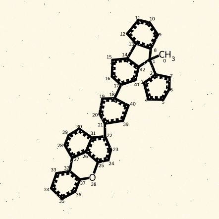 CC1(c2ccccc2)c2ccccc2-c2ccc(-c3ccc(-c4ccc5c6c(cccc46)-c4ccccc4O5)cc3)cc21